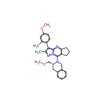 COC[C@@H]1Cc2ccccc2CN1c1c2c(nc3c(-c4ccc(OC)cc4C)c(C)nn13)CCC2